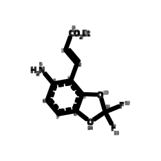 CCOC(=O)/C=C/c1c(N)ccc2c1OC(F)(F)O2